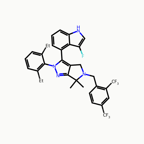 CCc1cccc(CC)c1-n1nc2c(c1-c1cccc3[nH]cc(F)c13)CN(Cc1ccc(C(F)(F)F)cc1C(F)(F)F)C2(C)C